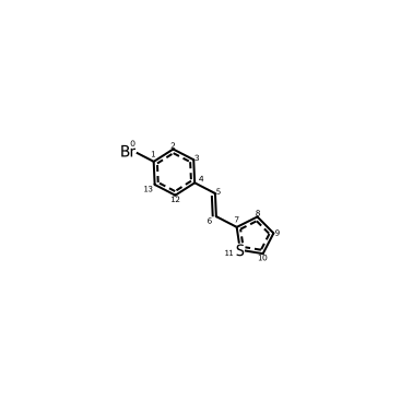 Brc1ccc(C=Cc2cccs2)cc1